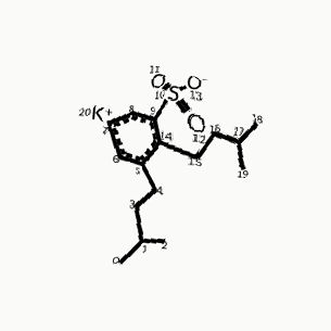 CC(C)CCc1cccc(S(=O)(=O)[O-])c1CCC(C)C.[K+]